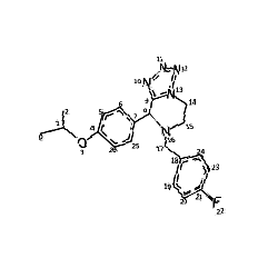 CC(C)Oc1ccc(C2c3nnnn3CCN2Cc2ccc(F)cc2)cc1